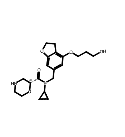 O=C([C@H]1CNCCO1)N(Cc1cc(OCCCO)c2c(c1)OCC2)C1CC1